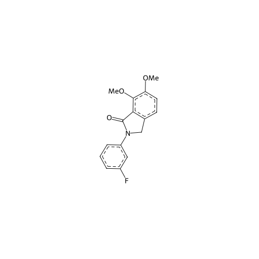 COc1ccc2c(c1OC)C(=O)N(c1cccc(F)c1)C2